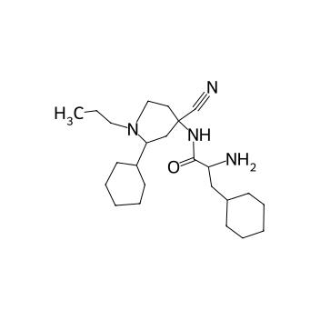 CCCN1CCC(C#N)(NC(=O)C(N)CC2CCCCC2)CC1C1CCCCC1